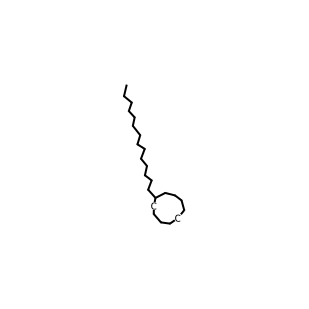 CCCCCCCCCCCCCCC1CCCCCCCCC1